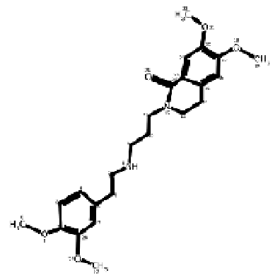 COc1ccc(CCNCCCN2CCc3cc(OC)c(OC)cc3C2=O)cc1OC